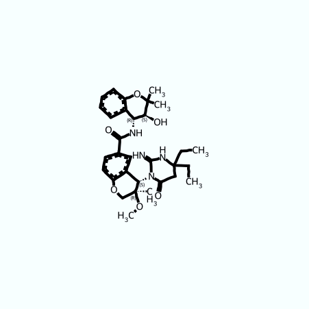 CCC1(CC)CC(=O)N([C@H]2c3cc(C(=O)N[C@@H]4c5ccccc5OC(C)(C)[C@H]4O)ccc3OC[C@]2(C)OC)C(=N)N1